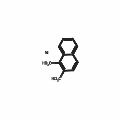 O=C(O)c1ccc2ccccc2c1C(=O)O.[Ni]